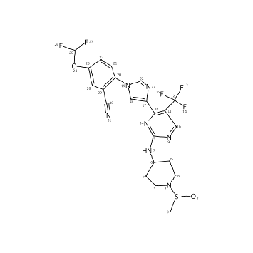 C[S+]([O-])N1CCC(Nc2ncc(C(F)(F)F)c(-c3cn(-c4ccc(OC(F)F)cc4C#N)cn3)n2)CC1